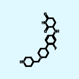 O=C1CC[C@@H](Nc2ccc(C3CCN(CC4CCNCC4)CC3)c(F)c2)C(=O)N1